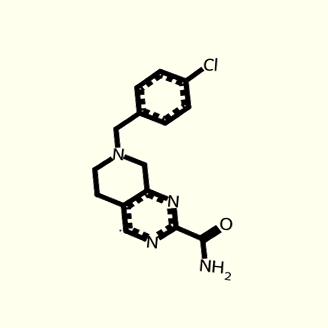 NC(=O)c1n[c]c2c(n1)CN(Cc1ccc(Cl)cc1)CC2